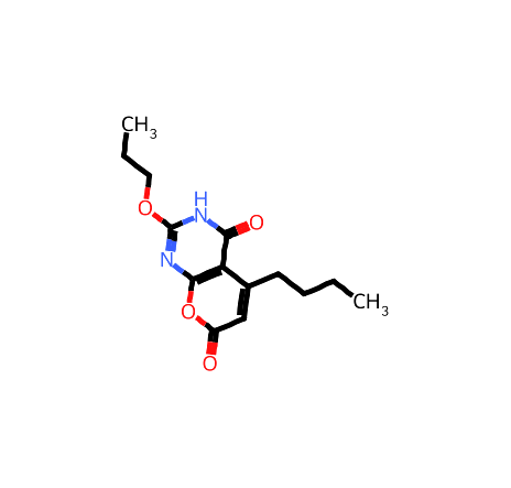 CCCCc1cc(=O)oc2nc(OCCC)[nH]c(=O)c12